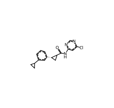 O=C(Nc1cc(Cl)ncn1)C1C[C@@H]1c1cccc(C2CC2)c1